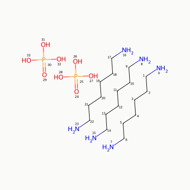 NCCCCCCN.NCCCCCCN.NCCCCCCN.O=P(O)(O)O.O=P(O)(O)O